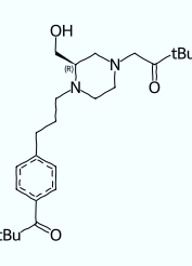 CC(C)(C)C(=O)CN1CCN(CCCc2ccc(C(=O)C(C)(C)C)cc2)[C@@H](CO)C1